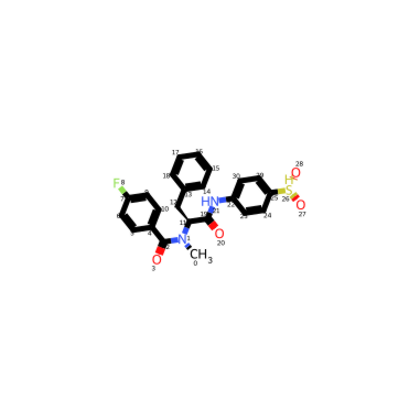 CN(C(=O)c1ccc(F)cc1)[C@@H](Cc1ccccc1)C(=O)Nc1ccc([SH](=O)=O)cc1